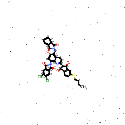 CCCCSc1ccc2c(c1)C(=O)C(c1ccc3c(CN4C(=O)c5ccccc5C4=O)ccc(N4C(=O)c5cc(Cl)c(Cl)cc5C4=O)c3n1)C2=O